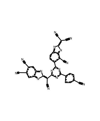 N#CC(C#N)=C1N=c2ccc(-c3nc(C(C#N)=C4N=c5cc(C#N)c(C#N)cc5=N4)nc(-c4ccc(C#N)cc4)n3)c(C#N)c2=N1